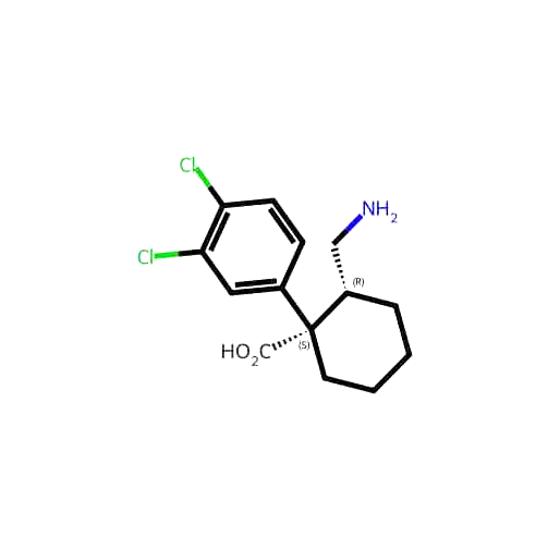 NC[C@@H]1CCCC[C@@]1(C(=O)O)c1ccc(Cl)c(Cl)c1